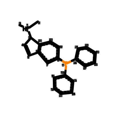 [CH3][Hf]([CH3])[CH]1C=Cc2cc(P(c3ccccc3)c3ccccc3)ccc21